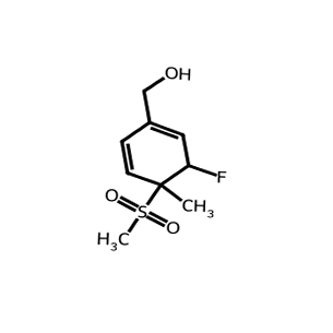 CC1(S(C)(=O)=O)C=CC(CO)=CC1F